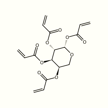 C=CC(=O)O[C@@H]1OC[C@@H](OC(=O)C=C)[C@@H](OC(=O)C=C)[C@@H]1OC(=O)C=C